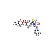 CC(C)(C)c1ccc(Oc2cccc(C3SCC(=O)N3CCN3CCCCC3)c2)cc1